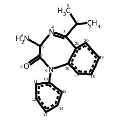 CC(C)C1=NC(N)C(=O)N(c2ccccc2)c2ccccc21